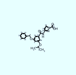 CC(C)Oc1cc(OCc2ccccc2)cc(C(=O)Nc2ccn(C(=O)O)n2)c1